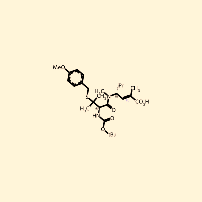 COc1ccc(CSC(C)(C)[C@H](NC(=O)OC(C)(C)C)C(=O)N(C)[C@@H](/C=C(\C)C(=O)O)C(C)C)cc1